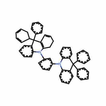 C1=CCC(C2(c3ccccc3)C3=C(CCC=C3)N(c3cccc(N4c5ccccc5C(c5ccccc5)(c5ccccc5)c5ccccc54)c3)c3ccccc32)C=C1